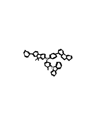 CC1CC=C(N(c2ccc(-c3cccc4c3ccc3ccccc34)cc2)c2ccc3c(c2)C(C)(C)c2cc(-c4ccccc4)ccc2-3)C=C1n1c2ccccc2c2ccccc21